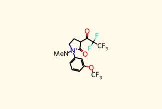 CN[N+]1(c2cccc(OC(F)(F)F)c2)CCC(C(=O)C(F)(F)C(F)(F)F)C1=O